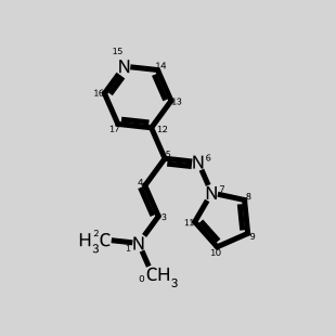 CN(C)C=CC(=Nn1cccc1)c1ccncc1